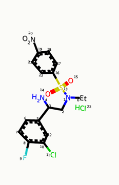 CCN(CC(N)c1ccc(F)c(Cl)c1)S(=O)(=O)c1ccc([N+](=O)[O-])cc1.Cl